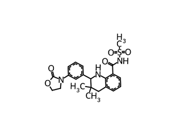 CC1(C)Cc2cccc(C(=O)NS(C)(=O)=O)c2NC1c1cccc(N2CCOC2=O)c1